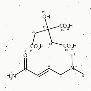 CN(C)CC=CC(N)=O.O=C(O)CC(O)(CC(=O)O)C(=O)O